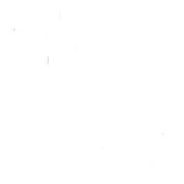 O=C(Oc1cccc(C(Cl)(Cl)Cl)c1)C(Cl)(Cl)Cl